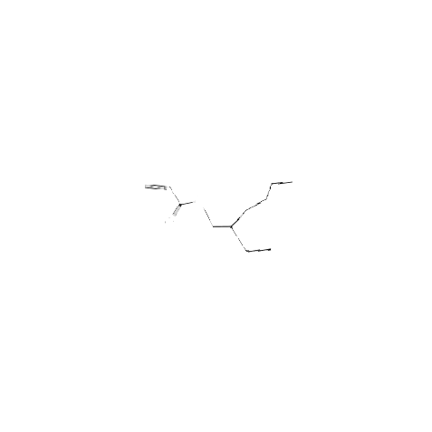 [CH]=CC(=O)OCC(CC)CCCC